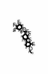 CCOc1ccc2c(sc3c(F)c(C(F)(F)Oc4cc(F)c(F)c(F)c4)ccc32)c1F